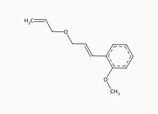 C=CCOCC=Cc1ccccc1OC